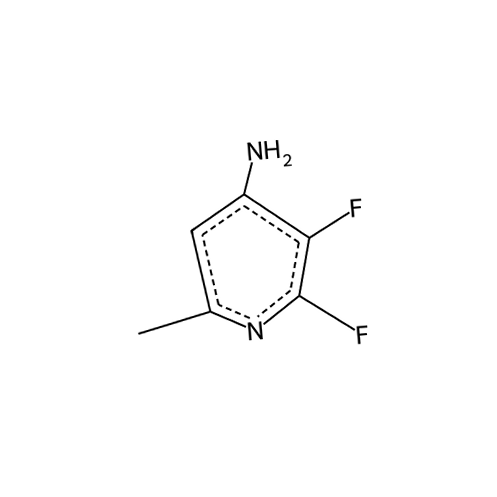 Cc1cc(N)c(F)c(F)n1